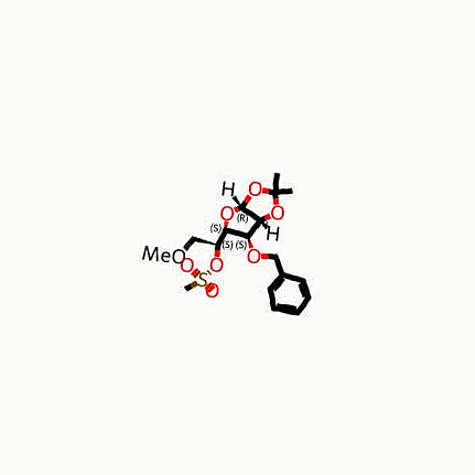 COC[C@H](OS(C)(=O)=O)[C@H]1O[C@@H]2OC(C)(C)O[C@@H]2[C@H]1OCc1ccccc1